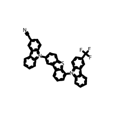 N#Cc1ccc2c(c1)c1ccccc1n2-c1ccc2sc3c(-n4c5ccccc5c5cc(C(F)(F)F)ccc54)cccc3c2c1